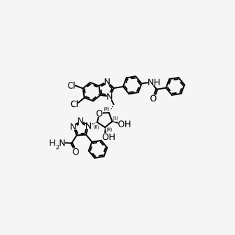 NC(=O)c1nnn([C@@H]2O[C@H](Cn3c(-c4ccc(NC(=O)c5ccccc5)cc4)nc4cc(Cl)c(Cl)cc43)[C@@H](O)[C@H]2O)c1-c1ccccc1